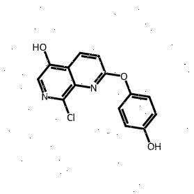 Oc1ccc(Oc2ccc3c(O)cnc(Cl)c3n2)cc1